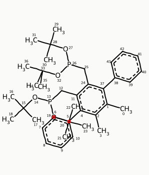 Cc1c(C)c(-c2ccccc2)c(CP(OC(C)(C)C)OC(C)(C)C)c(CP(OC(C)(C)C)OC(C)(C)C)c1-c1ccccc1